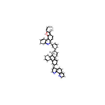 C/C=C\c1oc2c(ccc3c(C4=CC(C(C)/C=C\c5c(C)c6c(c7cc(-c8ccnc9c8ccc8cccnc89)ccc57)C=CCC6)CC=C4)nc4c(c32)C=CCC4)c1CC